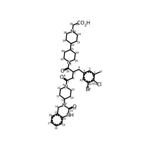 Cc1cc(CC(CC(=O)N2CCC(N3Cc4ccccc4NC3=O)CC2)C(=O)N2CCC(C3CCN(CC(=O)O)CC3)CC2)cc(Br)c1Cl